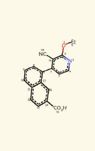 CCOc1nccc(-c2cccc3ccc(C(=O)O)cc23)c1C#N